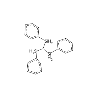 c1ccc([SiH2]C([SiH2]c2ccccc2)[SiH2]c2ccccc2)cc1